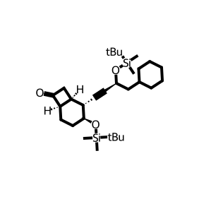 CC(C)(C)[Si](C)(C)O[C@H](C#C[C@H]1[C@@H]2CC(=O)[C@@H]2CC[C@@H]1O[Si](C)(C)C(C)(C)C)CC1CCCCC1